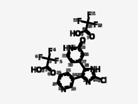 O=C(O)C(F)(F)F.O=C(O)C(F)(F)F.O=c1cc(-c2[nH]c(Cl)nc2-c2cccnc2)cc[nH]1